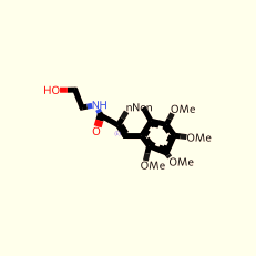 CCCCCCCCC/C(=C\c1c(C)c(OC)c(OC)c(OC)c1OC)C(=O)NCCO